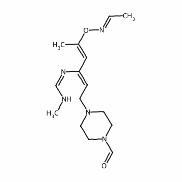 C/C=N/O/C(C)=C/C(=C/CN1CCN(C=O)CC1)/N=C\NC